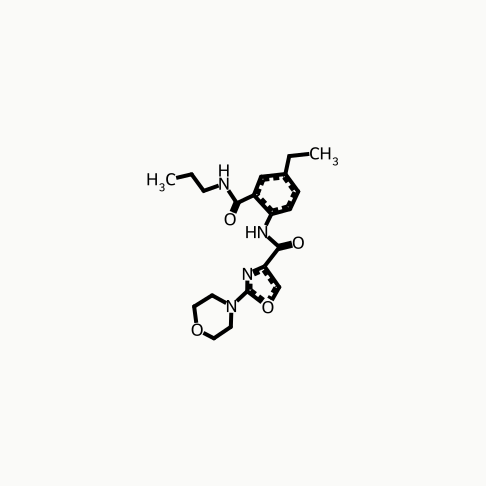 CCCNC(=O)c1cc(CC)ccc1NC(=O)c1coc(N2CCOCC2)n1